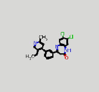 CCc1cnc(C)cc1-c1cccc(C2=Nc3cc(Cl)c(Cl)cc3NC(=O)C2)c1